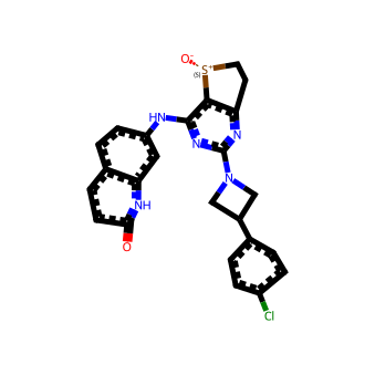 O=c1ccc2ccc(Nc3nc(N4CC(c5ccc(Cl)cc5)C4)nc4c3[S@+]([O-])CC4)cc2[nH]1